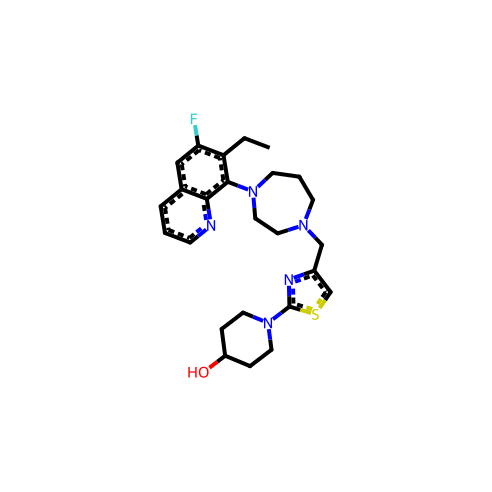 CCc1c(F)cc2cccnc2c1N1CCCN(Cc2csc(N3CCC(O)CC3)n2)CC1